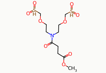 COC(=O)CCC(=O)N(CCOC[SH](=O)=O)CCOC[SH](=O)=O